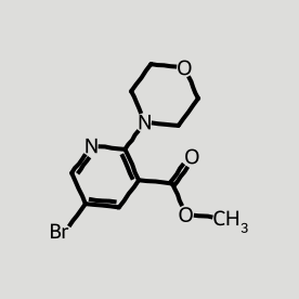 COC(=O)c1cc(Br)cnc1N1CCOCC1